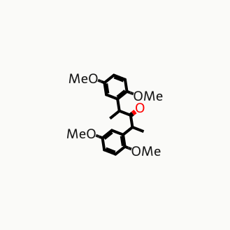 COc1ccc(OC)c(C(C)C(=O)C(C)c2cc(OC)ccc2OC)c1